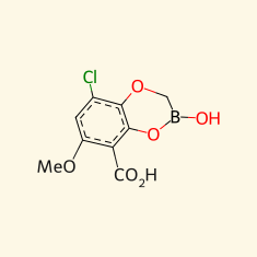 COc1cc(Cl)c2c(c1C(=O)O)OB(O)CO2